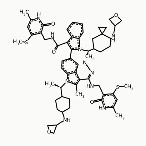 CSc1cc(C)[nH]c(=O)c1CNC(=O)c1c(-c2ccc3c(c2)c(/C(=N\C#N)NCc2c(SC)cc(C)[nH]c2=O)c(C)n3[C@H](C)C2CCC(NC3COC3)CC2)n([C@H](C)C2CCC(NC3COC3)C3(CC3)C2)c2ccccc12